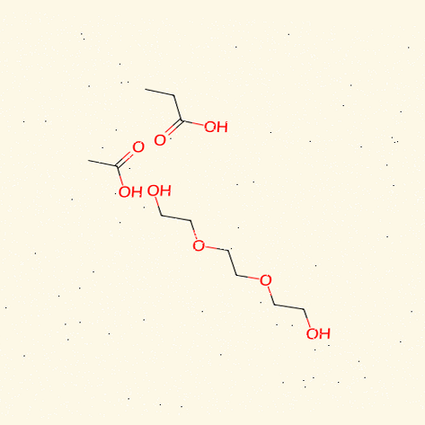 CC(=O)O.CCC(=O)O.OCCOCCOCCO